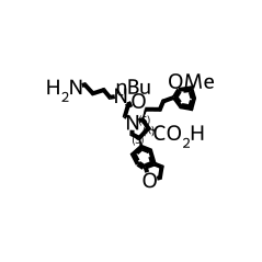 CCCCN(CCCCN)C(=O)CN1C[C@H](c2ccc3c(c2)CCO3)[C@@H](C(=O)O)[C@@H]1CCCc1ccccc1OC